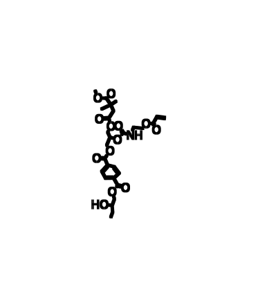 C=CC(=O)OCCNC(=O)OC(COC(=O)CC(C)(C)C(=O)OC)COC(=O)c1ccc(C(=O)OCC(O)CC)cc1